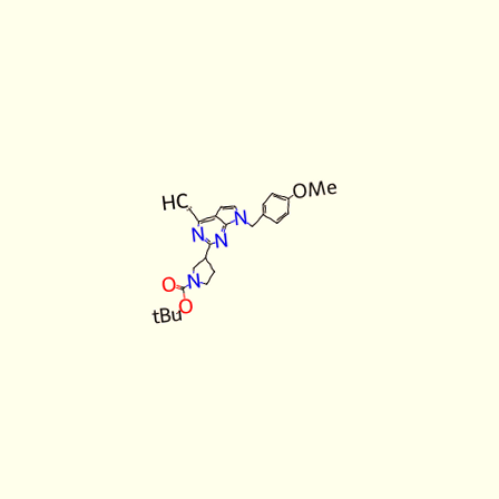 C#Cc1nc(C2CCN(C(=O)OC(C)(C)C)C2)nc2c1ccn2Cc1ccc(OC)cc1